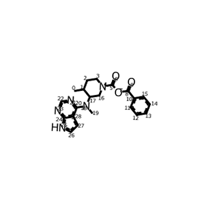 CC1CCN(C(=O)OC(=O)c2ccccc2)CC1N(C)c1ncnc2[nH]ccc12